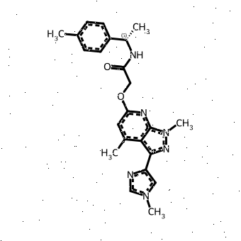 Cc1ccc([C@H](C)NC(=O)COc2cc(C)c3c(-c4cn(C)cn4)nn(C)c3n2)cc1